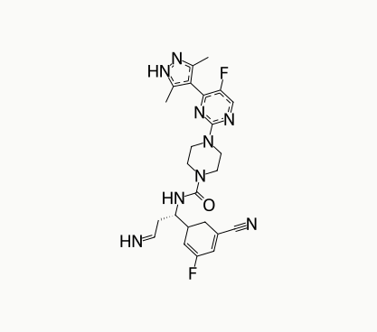 Cc1n[nH]c(C)c1-c1nc(N2CCN(C(=O)N[C@@H](CC=N)C3C=C(F)C=C(C#N)C3)CC2)ncc1F